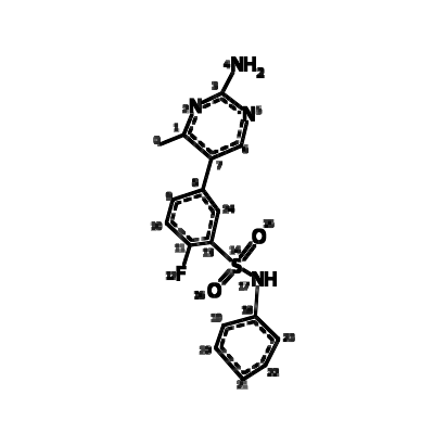 Cc1nc(N)ncc1-c1ccc(F)c(S(=O)(=O)Nc2ccccc2)c1